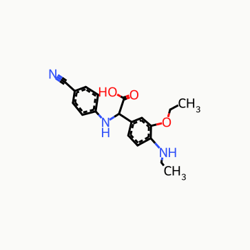 CCNc1ccc(C(Nc2ccc(C#N)cc2)C(=O)O)cc1OCC